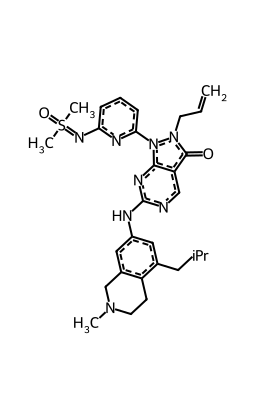 C=CCn1c(=O)c2cnc(Nc3cc(CC(C)C)c4c(c3)CN(C)CC4)nc2n1-c1cccc(N=S(C)(C)=O)n1